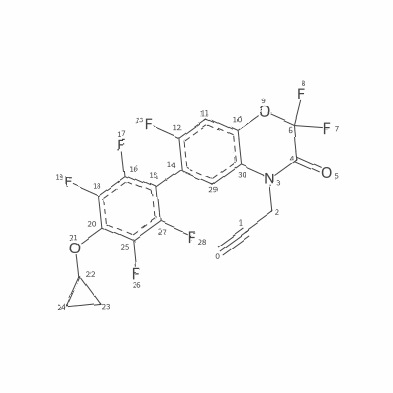 C#CCN1C(=O)C(F)(F)Oc2cc(F)c(-c3c(F)c(F)c(OC4CC4)c(F)c3F)cc21